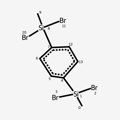 C[Si](Br)(Br)c1ccc([Si](C)(Br)Br)cc1